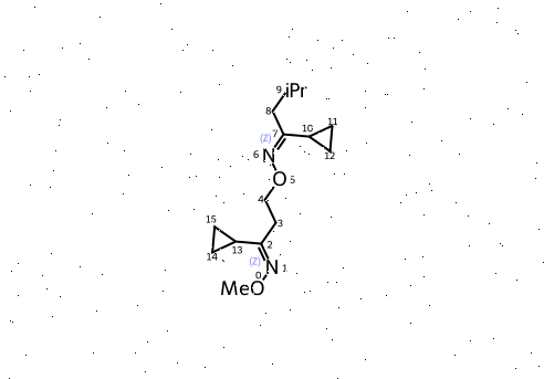 CO/N=C(/CCO/N=C(/CC(C)C)C1CC1)C1CC1